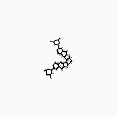 CC1CC(C)CN(c2ccc3cc4c(cc3c2)sc2ccc3sc5cc6cc(N7CC(C)CC(C)C7)ccc6cc5c3c24)C1